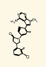 Cn1cc(-c2ccc(N3CC(c4cccc(Cl)c4F)CC3=O)cc2F)c2c(N)ncnc21